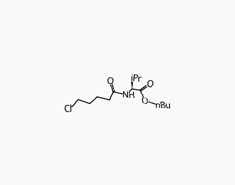 CCCCOC(=O)[C@@H](NC(=O)CCCCCl)C(C)C